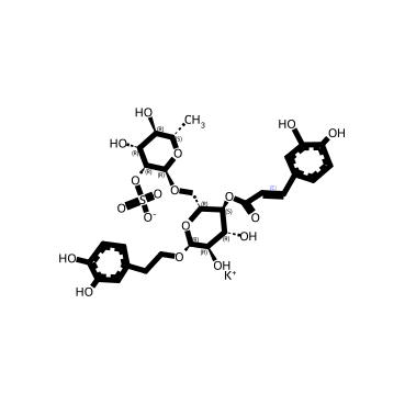 C[C@@H]1O[C@@H](OC[C@H]2O[C@@H](OCCc3ccc(O)c(O)c3)[C@H](O)[C@@H](O)[C@@H]2OC(=O)/C=C/c2ccc(O)c(O)c2)[C@H](OS(=O)(=O)[O-])[C@H](O)[C@H]1O.[K+]